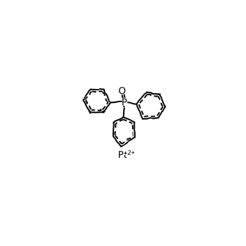 O=P(c1ccccc1)(c1ccccc1)c1ccccc1.[Pt+2]